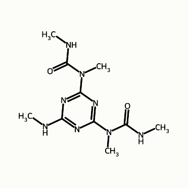 CNC(=O)N(C)c1nc(NC)nc(N(C)C(=O)NC)n1